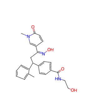 Cc1ccccc1C(CC(=NO)c1ccc(=O)n(C)c1)c1ccc(C(=O)NCCO)cc1